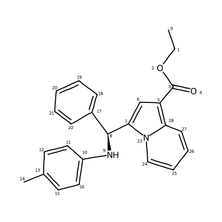 CCOC(=O)c1cc([C@@H](Nc2ccc(C)cc2)c2ccccc2)n2ccccc12